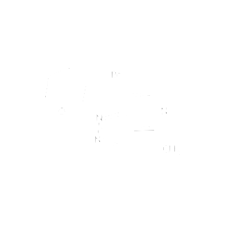 Cc1ncc(Br)c2c1cnn2C1CCCCO1